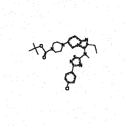 CCc1nc2ccc(N3CCN(C(=O)OC(C)(C)C)CC3)cn2c1N(C)c1nc(-c2ccc(Cl)cc2)ns1